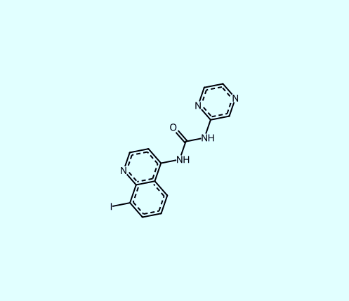 O=C(Nc1cnccn1)Nc1ccnc2c(I)cccc12